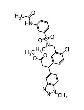 COC(=O)CC(c1ccc(Cl)c(CN(C)S(=O)(=O)c2cccc(NC(C)=O)c2)c1)c1ccc2c(c1)nnn2C